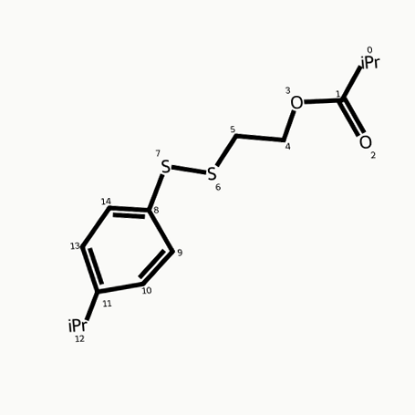 CC(C)C(=O)OCCSSc1ccc(C(C)C)cc1